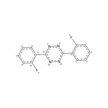 Fc1ccccc1-c1nnc(-c2ccccc2F)nn1